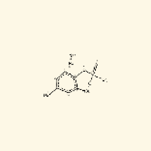 CC(C)(C)c1ccc(OP(=O)([O-])[O-])c(C(C)(C)C)c1.[Na+].[Na+]